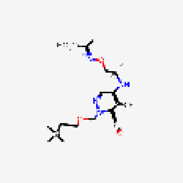 C/C(=N\OC[C@H](C)NC1=C(C(F)(F)F)C(=C=O)N(COCC[Si](C)(C)C)N=C1)C(=O)O